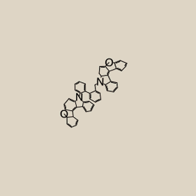 C1=CC2Oc3ccc4c(c3C2C=C1)c1ccccc1n4-c1ccccc1-c1ccccc1CN1c2ccccc2C2=c3c(oc4ccccc34)=CCC21